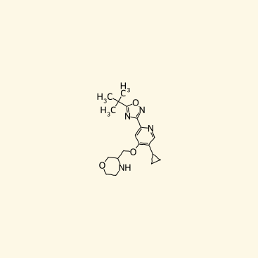 CC(C)(C)c1nc(-c2cc(OCC3COCCN3)c(C3CC3)cn2)no1